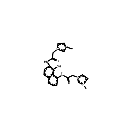 C[n+]1ccn(CC(=O)Nc2ccc3cccc(NC(=O)Cn4cc[n+](C)c4)c3c2O)c1